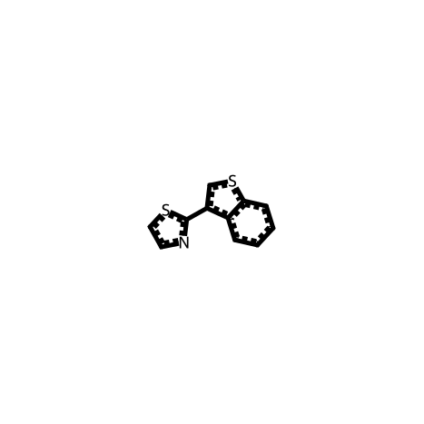 c1ccc2c(-c3nccs3)csc2c1